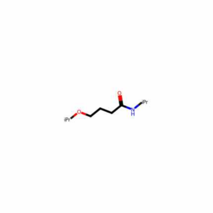 CC(C)NC(=O)CCCOC(C)C